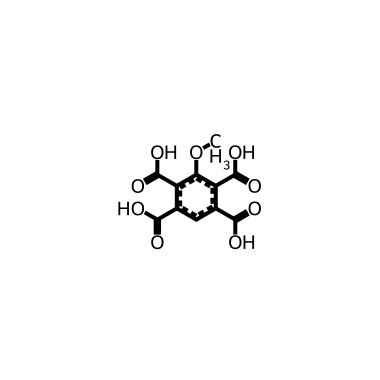 COc1c(C(=O)O)c(C(=O)O)cc(C(=O)O)c1C(=O)O